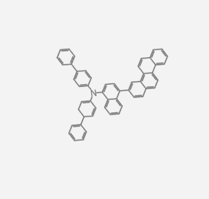 C1=CC(c2ccccc2)CC=C1N(c1ccc(-c2ccccc2)cc1)c1ccc(-c2ccc3ccc4c5ccccc5ccc4c3c2)c2ccccc12